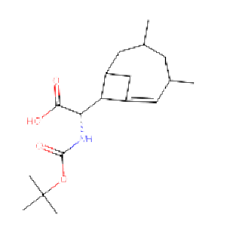 CC1/C=C2\CC(CC(C)C1)C2[C@H](NC(=O)OC(C)(C)C)C(=O)O